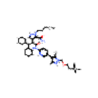 CCc1c(-c2ccc(NC(=O)C(c3cnn(CCCOC)c3C(N)=O)C(C3CCCCC3)C3CCCCC3)nc2)c(C)nn1COCC[Si](C)(C)C